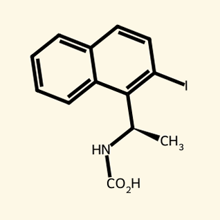 C[C@@H](NC(=O)O)c1c(I)ccc2ccccc12